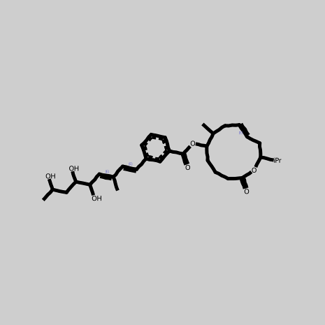 CC(/C=C/c1cccc(C(=O)OC2CCCC(=O)OC(C(C)C)C/C=C/CC2C)c1)=C\C(O)C(O)CC(C)O